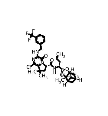 C=CC[C@H](NC(=O)[C@@H]1CC(C)(C)c2c(Cl)nc(NCc3cccc(C(F)(F)F)c3)c(=O)n21)B1O[C@@H]2C[C@@H]3C[C@@H](C3(C)C)[C@]2(C)O1